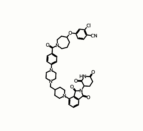 N#Cc1ccc(OC2CCCN(C(=O)c3ccc(N4CCN(CC5CCN(c6cccc7c6C(=O)N(C6CCC(=O)NC6=O)C7=O)CC5)CC4)cc3)CC2)cc1Cl